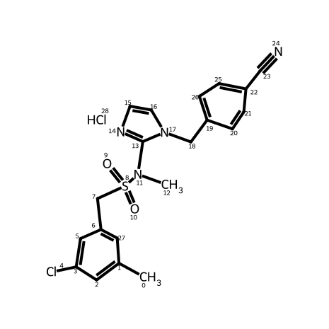 Cc1cc(Cl)cc(CS(=O)(=O)N(C)c2nccn2Cc2ccc(C#N)cc2)c1.Cl